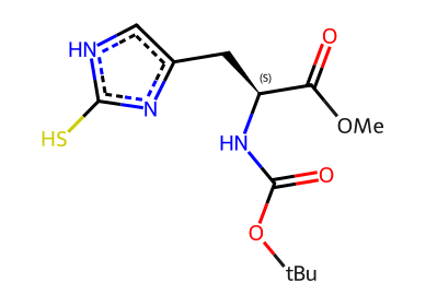 COC(=O)[C@H](Cc1c[nH]c(S)n1)NC(=O)OC(C)(C)C